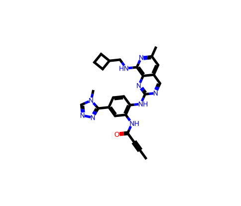 CC#CC(=O)Nc1cc(-c2nncn2C)ccc1Nc1ncc2cc(C)nc(NCC3CCC3)c2n1